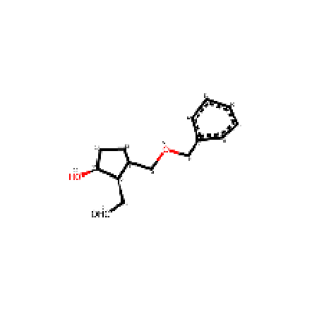 O=CC[C@@H]1C(COCc2ccccc2)CC[C@@H]1O